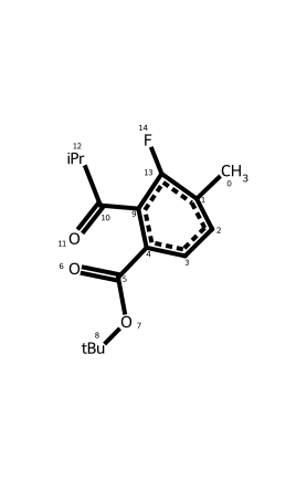 Cc1ccc(C(=O)OC(C)(C)C)c(C(=O)C(C)C)c1F